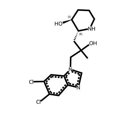 CC(O)(C[C@H]1NCCC[C@@H]1O)Cn1cnc2cc(Cl)c(Cl)cc21